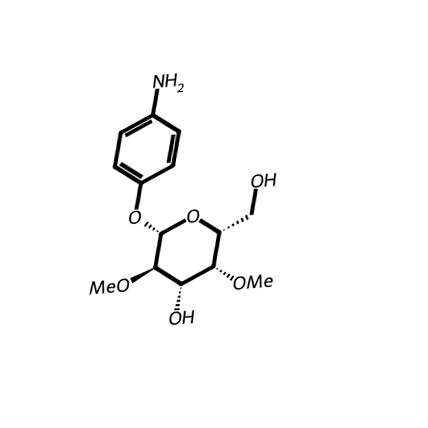 CO[C@@H]1[C@H](O)[C@@H](OC)[C@H](Oc2ccc(N)cc2)O[C@@H]1CO